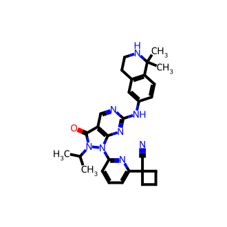 CC(C)n1c(=O)c2cnc(Nc3ccc4c(c3)CCNC4(C)C)nc2n1-c1cccc(C2(C#N)CCC2)n1